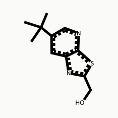 CC(C)(C)c1cnc2sc(CO)nc2c1